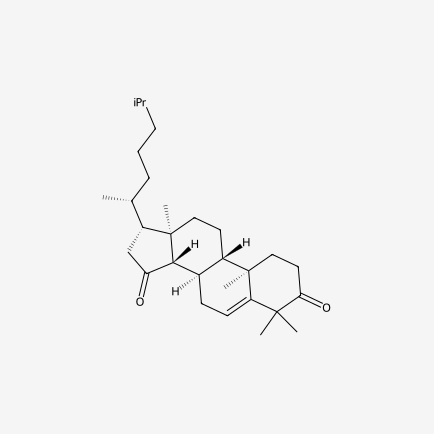 CC(C)CCC[C@@H](C)[C@H]1CC(=O)[C@H]2[C@@H]3CC=C4C(C)(C)C(=O)CC[C@]4(C)[C@H]3CC[C@]12C